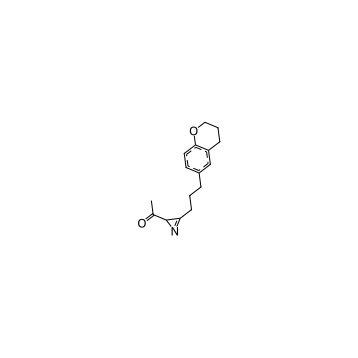 CC(=O)C1N=C1CCCc1ccc2c(c1)CCCO2